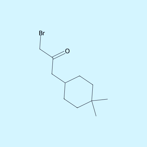 CC1(C)CCC(CC(=O)CBr)CC1